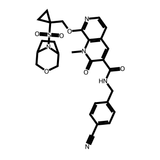 Cn1c(=O)c(C(=O)NCc2ccc(C#N)cc2)cc2ccnc(OCC3(S(=O)(=O)N4C5CCC4COC5)CC3)c21